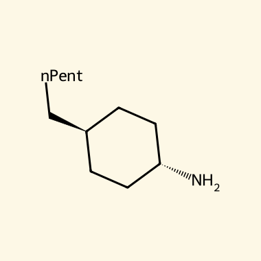 CCCCCC[C@H]1CC[C@H](N)CC1